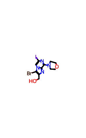 OCc1nc2c(N3CCOCC3)nc(I)cn2c1Br